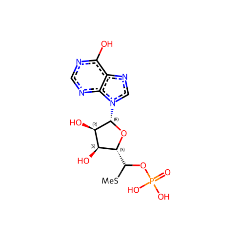 CSC(OP(=O)(O)O)[C@H]1O[C@@H](n2cnc3c(O)ncnc32)[C@H](O)[C@@H]1O